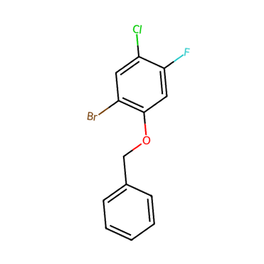 Fc1cc(OCc2ccccc2)c(Br)cc1Cl